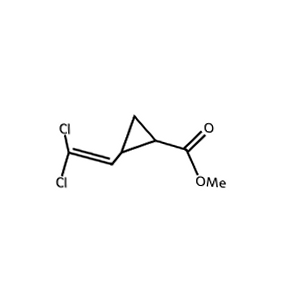 COC(=O)C1CC1C=C(Cl)Cl